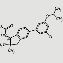 CC(C)Oc1cc(Cl)cc(-c2ccc3c(c2)CC(C)(C)[C@H]3NC(=O)O)c1